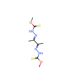 COC(=S)N/N=C(C)/C(C)=N/NC(=S)OC